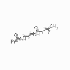 CC(I)OCC(=O)NCCCNC(=O)C(C)C